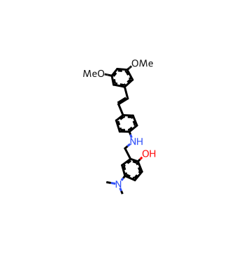 COc1cc(C=Cc2ccc(NCc3cc(N(C)C)ccc3O)cc2)cc(OC)c1